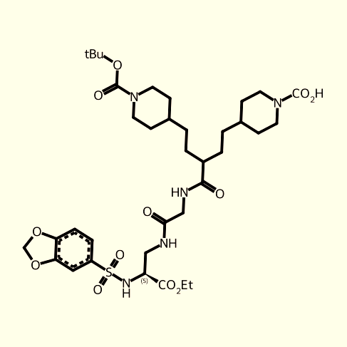 CCOC(=O)[C@H](CNC(=O)CNC(=O)C(CCC1CCN(C(=O)O)CC1)CCC1CCN(C(=O)OC(C)(C)C)CC1)NS(=O)(=O)c1ccc2c(c1)OCO2